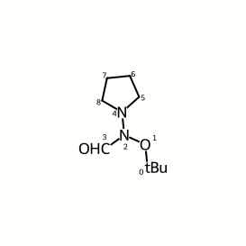 CC(C)(C)ON(C=O)N1CCCC1